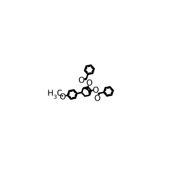 COc1ccc(C2CC3CCC2C(OC(=O)c2ccccc2)C3OC(=O)c2ccccc2)cc1